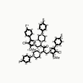 CSc1c(Cl)c(-c2ccc(F)cc2)nn1CC(C(=O)C(Cn1nc(-c2ccc(F)cc2)c(Cl)c1SC)N1CCN(c2ccc(F)cc2)CC1)N1CCN(c2ccc(F)cc2)CC1